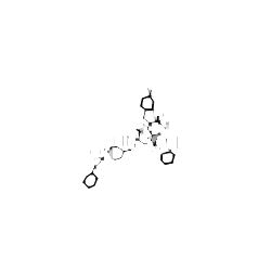 CC(C)N1CC2N(C(=O)C(NC(=O)C3CCN(C(=O)OCc4ccccc4)CC3)CN2S(=O)(=O)c2ccc(Cl)cc2Cl)C(Cc2ccc(Cl)cc2)C1=O